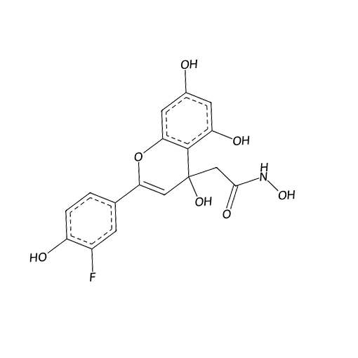 O=C(CC1(O)C=C(c2ccc(O)c(F)c2)Oc2cc(O)cc(O)c21)NO